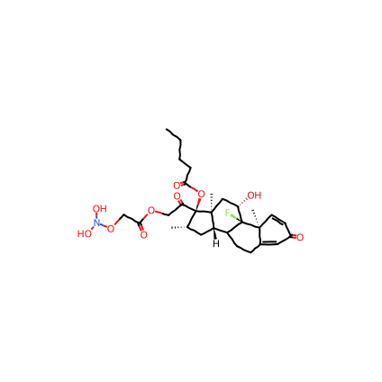 CCCCC(=O)O[C@]1(C(=O)COC(=O)CON(O)O)[C@@H](C)C[C@H]2C3CCC4=CC(=O)C=C[C@]4(C)[C@@]3(F)[C@@H](O)C[C@@]21C